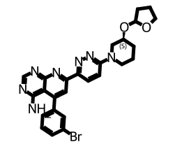 Nc1ncnc2nc(-c3ccc(N4CCC[C@H](OC5CCCO5)C4)nn3)cc(-c3cccc(Br)c3)c12